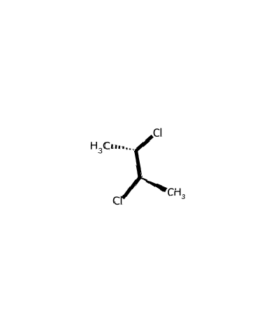 C[C@H](Cl)[C@@H](C)Cl